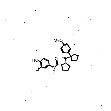 COc1ccc(C2(C(=O)N3CCC[C@@H]3C(=O)Nc3ccc(O)c(Cl)c3)CCCC2)cc1